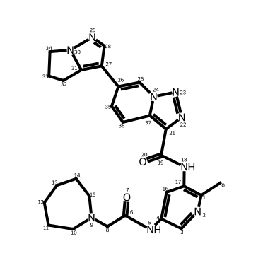 Cc1ncc(NC(=O)CN2CCCCCC2)cc1NC(=O)c1nnn2cc(-c3cnn4c3CCC4)ccc12